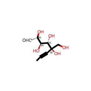 CC#C[C@@](O)(CO)[C@@H](O)[C@@H](O)[C@@H](O)C=O